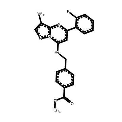 Bc1cnn2c(NCc3ccc(C(=O)OC)cc3)cc(-c3ccccc3F)nc12